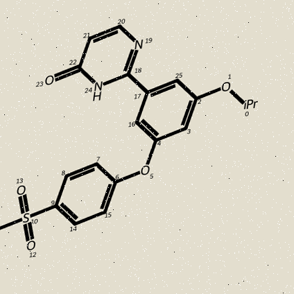 CC(C)Oc1cc(Oc2ccc(S(C)(=O)=O)cc2)cc(-c2nccc(=O)[nH]2)c1